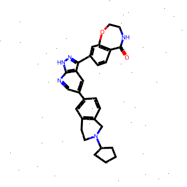 O=C1NCCOc2cc(-c3n[nH]c4ncc(-c5ccc6c(c5)CCN(C5CCCC5)C6)cc34)ccc21